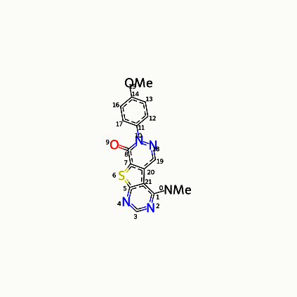 CNc1ncnc2sc3c(=O)n(-c4ccc(OC)cc4)ncc3c12